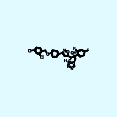 C[C@@H](c1cc(-c2ccc(OCc3ccc(Cl)cc3Cl)cc2)no1)[C@](O)(Cn1cnnn1)c1ccc(F)cc1F